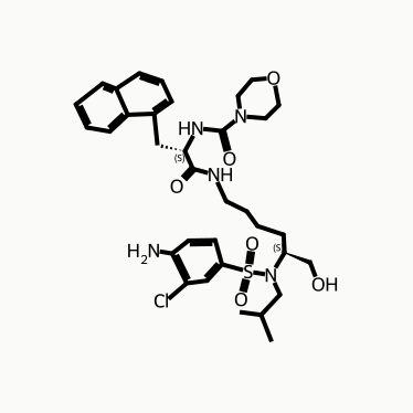 CC(C)CN([C@H](CO)CCCCNC(=O)[C@H](Cc1cccc2ccccc12)NC(=O)N1CCOCC1)S(=O)(=O)c1ccc(N)c(Cl)c1